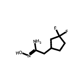 N/C(CC1CCC(F)(F)C1)=N\O